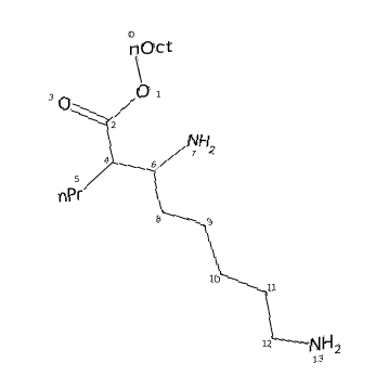 CCCCCCCCOC(=O)C(CCC)C(N)CCCCCN